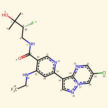 CC(C)(O)[C@H](F)CNC(=O)c1cnc(-c2cnn3cc(Cl)cnc23)cc1NCC(F)(F)F